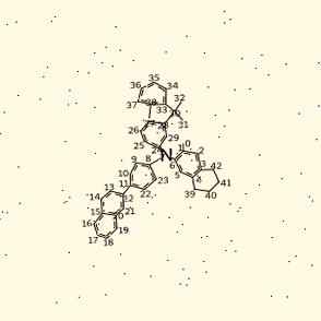 Cc1cc2c(cc1N(c1ccc(-c3ccc4ccccc4c3)cc1)c1ccc3c(c1)C(C)(C)c1ccccc1-3)CCCC2